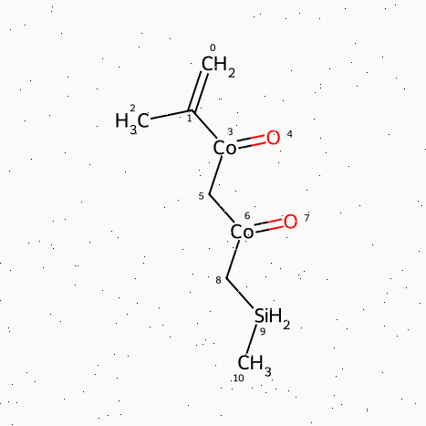 C=[C](C)[Co](=[O])[CH2][Co](=[O])[CH2][SiH2]C